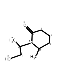 CC(CO)N1C(=O)CCCC1C